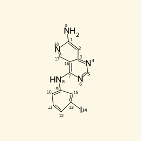 Nc1cc2ncnc(Nc3cccc(I)c3)c2cn1